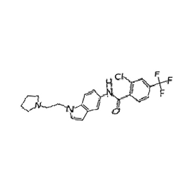 O=C(Nc1ccc2c(ccn2CCN2CCCC2)c1)c1ccc(C(F)(F)F)cc1Cl